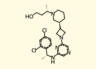 C[C@@H](Nc1cncc(N2CC([C@@H]3CCCN([C@@H](C)CCO)C3)C2)n1)c1ccc(Cl)cc1Cl